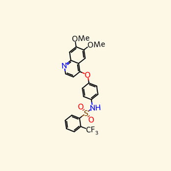 COc1cc2nccc(Oc3ccc(NS(=O)(=O)c4ccccc4C(F)(F)F)cc3)c2cc1OC